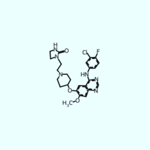 COc1cc2ncnc(Nc3ccc(F)c(Cl)c3)c2cc1OC1CCN(CCN2CCNC2=O)CC1